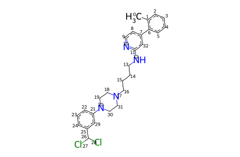 Cc1ccccc1-c1ccnc(NCCCCN2CCN(c3cccc(C(Cl)Cl)c3)CC2)c1